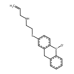 C=CCNCCSc1ccc2c(c1)Cc1ccccc1[S+]2[O-]